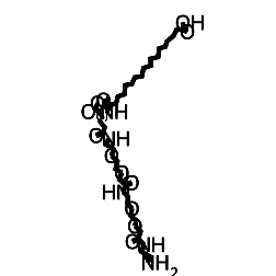 NCCNC(=O)COCCOCCNC(=O)COCCOCCNC(=O)CC[C@H](NC(=O)CCCCCCCCCCCCCCCCC(=O)O)C(=O)O